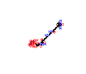 O=C(CCCC[C@@H]1SC[C@@H]2NC(=O)N[C@@H]21)NC=CCNCCCCCC(=O)c1cn([C@H]2C[C@H](O)[C@@H](COP(=O)(O)OP(=O)(O)OP(=O)(O)O)O2)c(=O)[nH]c1=O